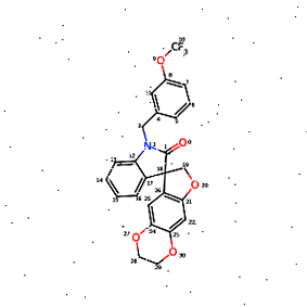 O=C1N(Cc2cccc(OC(F)(F)F)c2)c2ccccc2C12COc1cc3c(cc12)OCCO3